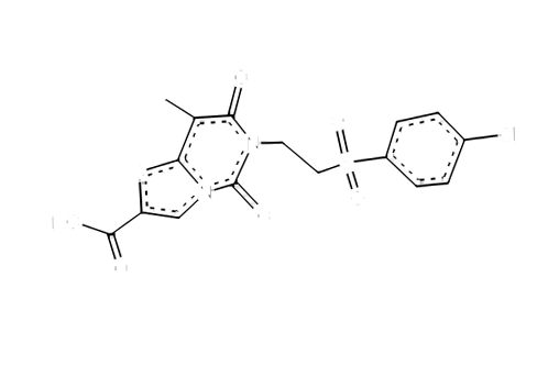 Cc1c(=O)n(CCS(=O)(=O)c2ccc(Cl)cc2)c(=O)n2cc(C(=O)O)sc12